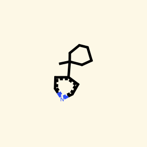 CC1(c2ccncc2)CCCCC1